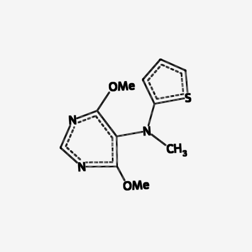 COc1ncnc(OC)c1N(C)c1cccs1